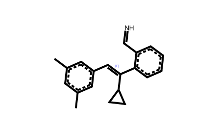 Cc1cc(C)cc(/C=C(/c2ccccc2C=N)C2CC2)c1